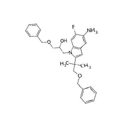 CC(C)(COCc1ccccc1)c1cc2cc(N)c(F)cc2n1CC(O)COCc1ccccc1